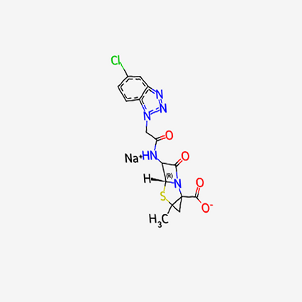 CC12CC1(C(=O)[O-])N1C(=O)C(NC(=O)Cn3nnc4cc(Cl)ccc43)[C@H]1S2.[Na+]